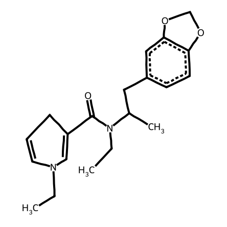 CCN1C=CCC(C(=O)N(CC)C(C)Cc2ccc3c(c2)OCO3)=C1